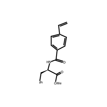 C=Cc1ccc(C(=O)N[C@H](CC(C)C)C(=O)OC)cc1